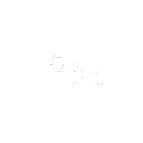 CCCCCCCCCC(CCCOc1ccccc1)S(=O)(=O)[O-].[Na+]